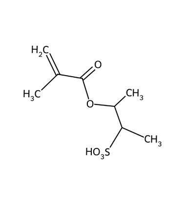 C=C(C)C(=O)OC(C)C(C)S(=O)(=O)O